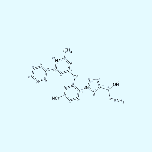 Cc1cc(Oc2cc(C#N)ccc2-n2ccc(C(O)CN)n2)cc(-c2ccccc2)n1